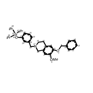 COc1cc2c(cc1OCc1ccccc1)CCN(Cc1cccc(O[Si](C(C)C)(C(C)C)C(C)C)c1)C2